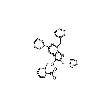 O=[N+]([O-])c1ccccc1COc1c(Cc2ccco2)nc2c(Cc3ccccc3)nc(-c3ccccc3)cn12